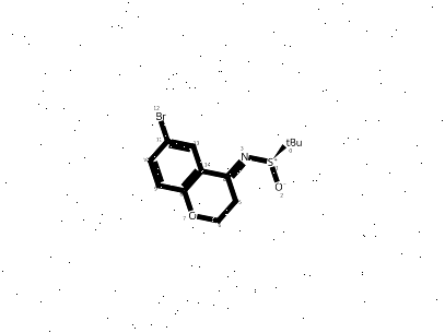 CC(C)(C)[S@@+]([O-])/N=C1\CCOc2ccc(Br)cc21